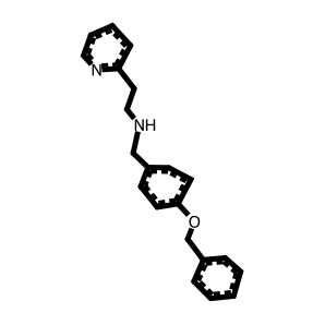 c1ccc(COc2ccc(CNCCc3ccccn3)cc2)cc1